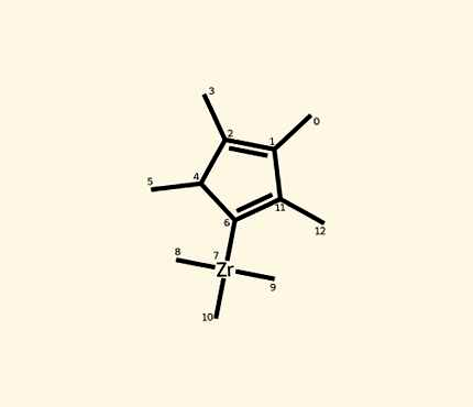 CC1=C(C)C(C)[C]([Zr]([CH3])([CH3])[CH3])=C1C